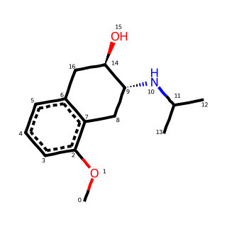 COc1cccc2c1C[C@@H](NC(C)C)[C@H](O)C2